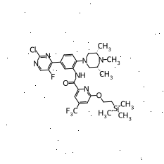 C[C@@H]1CN(c2ccc(-c3nc(Cl)ncc3F)cc2NC(=O)c2cc(C(F)(F)F)cc(OCC[Si](C)(C)C)n2)C[C@H](C)N1C